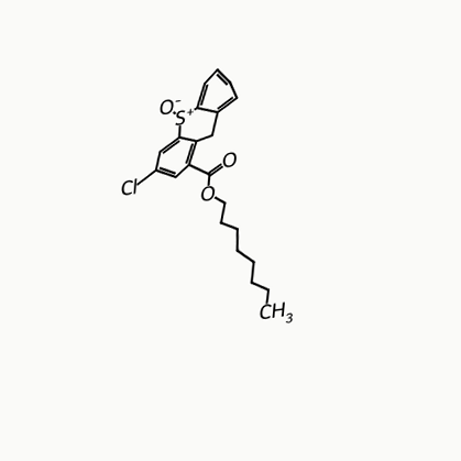 CCCCCCCCOC(=O)c1cc(Cl)cc2c1Cc1ccccc1[S+]2[O-]